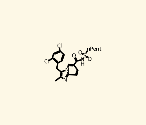 CCCCCS(=O)(=O)NC(=O)c1ccc2nc(C)c(Cc3ccc(Cl)cc3Cl)n2c1